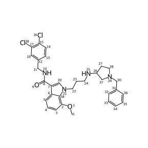 COc1cccc2c(C(=O)NCc3ccc(Cl)c(Cl)c3)cn(CCCNC3CCN(Cc4ccccc4)C3)c12